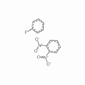 Fc1ccccc1.O=[N+]([O-])c1ccccc1[N+](=O)[O-]